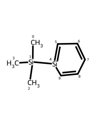 C[Si](C)(C)[si]1ccccc1